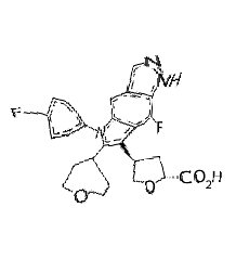 O=C(O)[C@H]1C[C@H](c2c(C3CCOCC3)n(-c3ccc(F)cc3)c3cc4cn[nH]c4c(F)c23)CO1